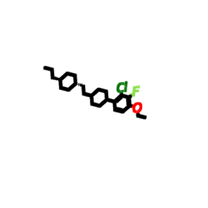 CCC[C@H]1CC[C@H](CCC2CCC(c3ccc(OCC)c(F)c3Cl)CC2)CC1